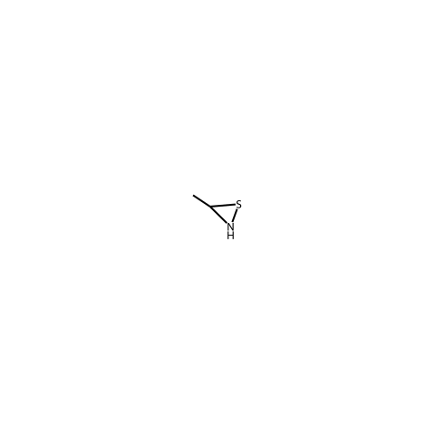 CC1NS1